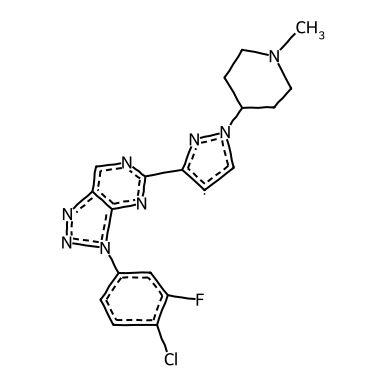 CN1CCC(n2c[c]c(-c3ncc4nnn(-c5ccc(Cl)c(F)c5)c4n3)n2)CC1